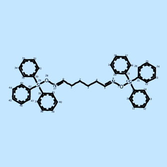 C(CCCCC=NO[Si](c1ccccc1)(c1ccccc1)c1ccccc1)=NO[Si](c1ccccc1)(c1ccccc1)c1ccccc1